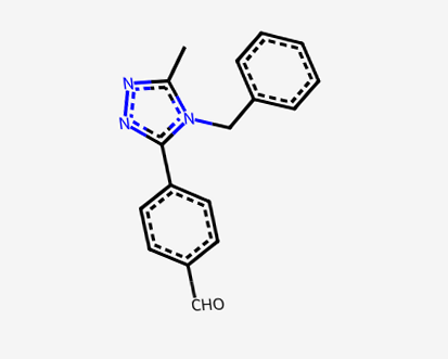 Cc1nnc(-c2ccc(C=O)cc2)n1Cc1ccccc1